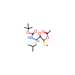 CSC(OC(C)=O)C(=O)[C@H](CC(C)C)NC(=O)OC(C)(C)C